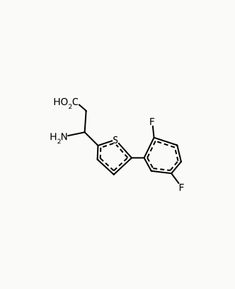 NC(CC(=O)O)c1ccc(-c2cc(F)ccc2F)s1